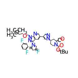 CC(C)(C)OC(=O)N1CCC(n2cc(-c3cnc4c(c3)c(N3C[C@@H](F)C[C@@H]3c3cc(F)ccc3F)nn4COCC[Si](C)(C)C)cn2)CC1=C=O